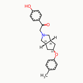 Cc1ccc(O[C@H]2C[C@@H]3CN(CC(=O)c4ccc(O)cc4)C[C@@H]3C2)cc1